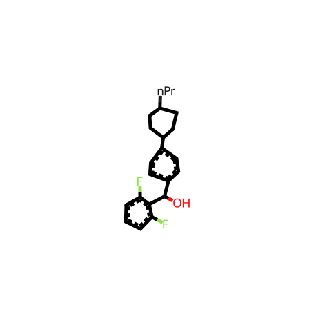 CCCC1CCC(c2ccc(C(O)c3c(F)cccc3F)cc2)CC1